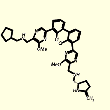 C=C1CC[C@@H](CNCc2ncc(-c3cccc(-c4cccc(-c5cnc(CNCC6CCCC6)c(OC)n5)c4Cl)c3Cl)nc2OC)N1